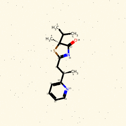 CC(C)[C@]1(C)SC(C[C@@H](C)c2ccccn2)=NC1=O